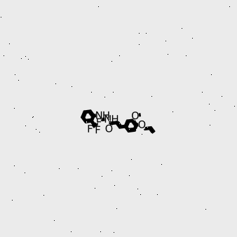 C=CCOc1ccc(C=CC(=O)NCNc2ccccc2C(F)(F)F)cc1OC